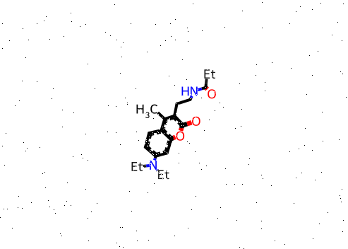 CCC(=O)NCCc1c(C)c2ccc(N(CC)CC)cc2oc1=O